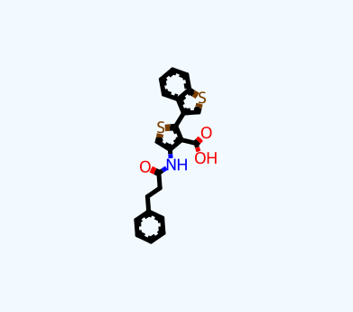 O=C(CCc1ccccc1)Nc1csc(-c2csc3ccccc23)c1C(=O)O